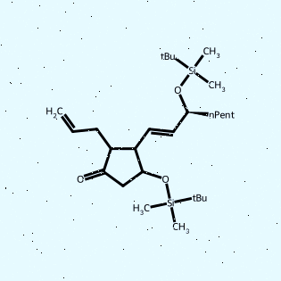 C=CCC1C(=O)CC(O[Si](C)(C)C(C)(C)C)C1C=C[C@H](CCCCC)O[Si](C)(C)C(C)(C)C